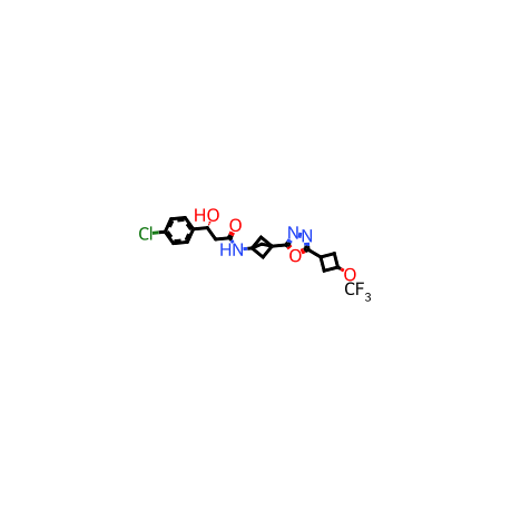 O=C(C[C@@H](O)c1ccc(Cl)cc1)NC12CC(c3nnc(C4CC(OC(F)(F)F)C4)o3)(C1)C2